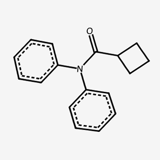 O=C(C1CCC1)N(c1ccccc1)c1ccccc1